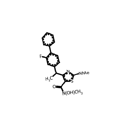 CNc1nc(C(C)c2ccc(-c3ccccc3)c(F)c2)c(C(=O)N(C)O)s1